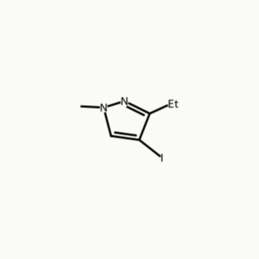 CCc1nn(C)cc1I